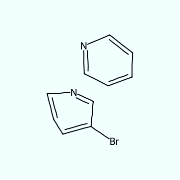 Brc1cccnc1.c1ccncc1